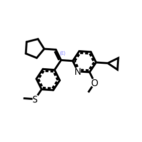 COc1nc(/C(=C/C2CCCC2)c2ccc(SC)cc2)ccc1C1CC1